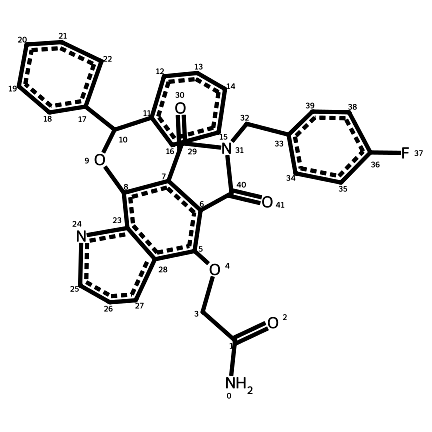 NC(=O)COc1c2c(c(OC(c3ccccc3)c3ccccc3)c3ncccc13)C(=O)N(Cc1ccc(F)cc1)C2=O